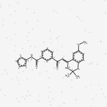 COc1ccc2c(c1)C(=CC(=O)c1cccc(C(=O)Nc3nncs3)c1)NC(C)(C)C2